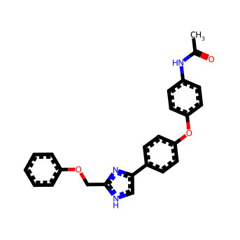 CC(=O)Nc1ccc(Oc2ccc(-c3c[nH]c(COc4ccccc4)n3)cc2)cc1